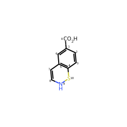 O=C(O)c1ccc2c(c1)C=CNS2